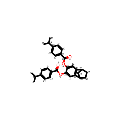 CC(C)c1ccc(C(=O)Oc2cc3c(cc2OC(=O)c2ccc(C(C)C)cc2)C2CCC3C2)cc1